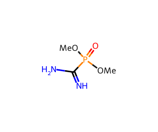 COP(=O)(OC)C(=N)N